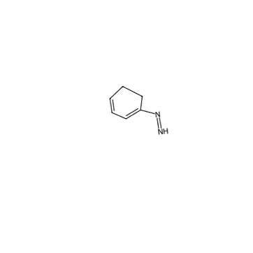 N=NC1=CC=CCC1